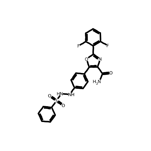 NC(=O)c1nc(-c2c(F)cccc2F)oc1-c1ccc(NNS(=O)(=O)c2ccccc2)cc1